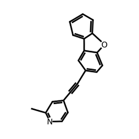 Cc1cc(C#Cc2ccc3oc4ccccc4c3c2)ccn1